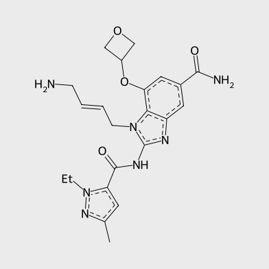 CCn1nc(C)cc1C(=O)Nc1nc2cc(C(N)=O)cc(OC3COC3)c2n1C/C=C/CN